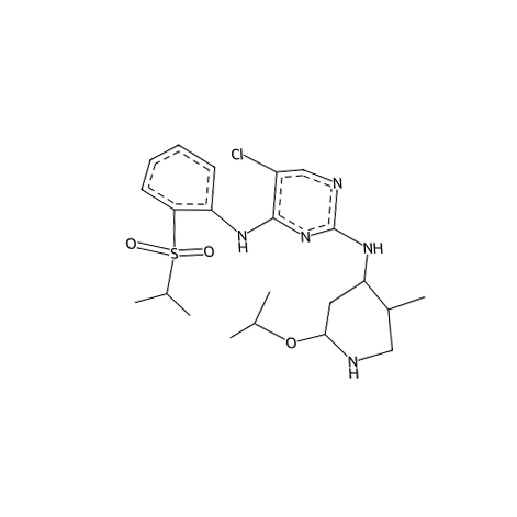 CC(C)OC1CC(Nc2ncc(Cl)c(Nc3ccccc3S(=O)(=O)C(C)C)n2)C(C)CN1